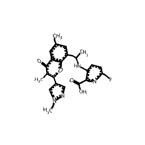 Cc1cc(C(C)Nc2ccc(F)nc2C(=O)O)c2oc(-c3cnn(C)c3)c(C)c(=O)c2c1